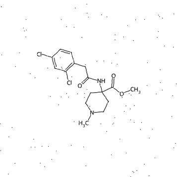 COC(=O)C1(NC(=O)Cc2ccc(Cl)cc2Cl)CCN(C)CC1